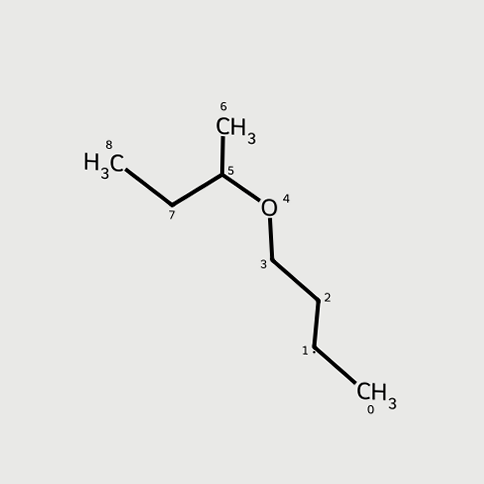 C[CH]CCOC(C)CC